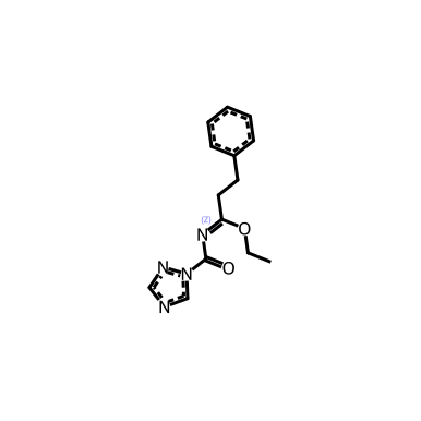 CCO/C(CCc1ccccc1)=N\C(=O)n1cncn1